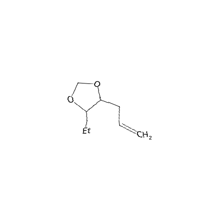 C=CCC1OCOC1CC